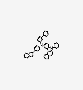 c1ccc(-c2cccc(N(c3ccc(-c4ccc5ccccc5c4)cc3)c3ccc4c(c3)c3c5ccccc5ccc3n4-c3ccccc3)c2)cc1